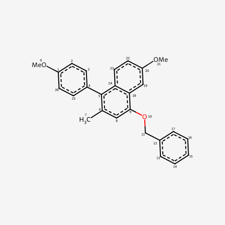 COc1ccc(-c2c(C)cc(OCc3ccccc3)c3cc(OC)ccc23)cc1